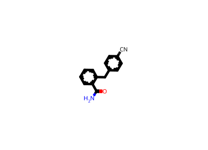 N#Cc1ccc(Cc2ccccc2C(N)=O)cc1